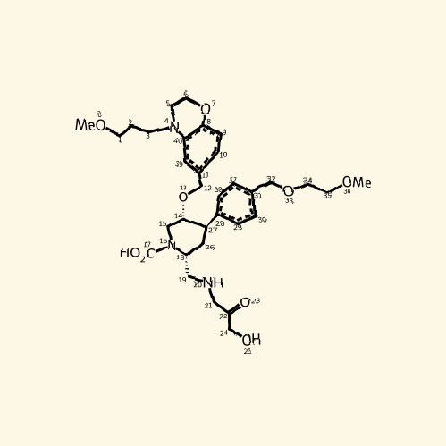 COCCCN1CCOc2ccc(CO[C@H]3CN(C(=O)O)[C@@H](CNCC(=O)CO)C[C@@H]3c3ccc(COCCOC)cc3)cc21